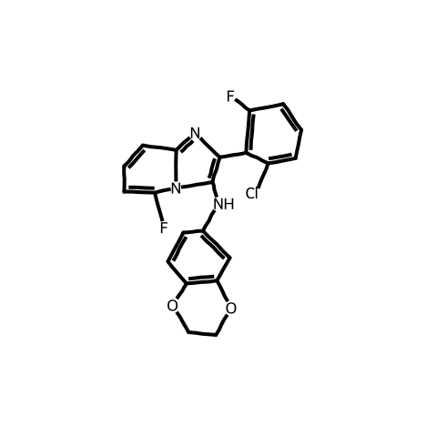 Fc1cccc(Cl)c1-c1nc2cccc(F)n2c1Nc1ccc2c(c1)OCCO2